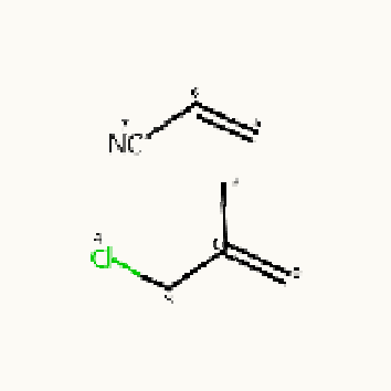 C=C(C)CCl.C=CC#N